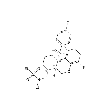 CCN(C[C@@H]1CCC[C@@]2(S(=O)(=O)c3ccc(Cl)cc3)c3c(F)ccc(F)c3OC[C@@H]12)S(=O)(=O)CC